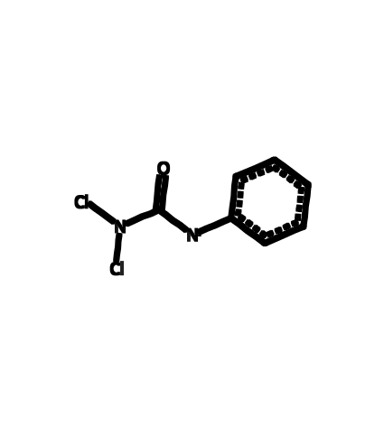 O=C([N]c1ccccc1)N(Cl)Cl